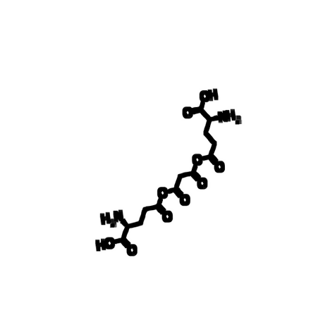 N[C@@H](CCC(=O)OC(=O)CC(=O)OC(=O)CC[C@H](N)C(=O)O)C(=O)O